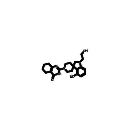 N#Cc1cccc2c1C1(CCN(c3nc4c(c(=O)[nH]3)CCCC4)CC1)CN2CCO